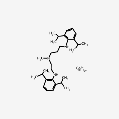 CC(C)c1cccc(C(C)C)c1NCCCN(C)CCNc1c(C(C)C)cccc1C(C)C.[Br-].[Br-].[Co+2]